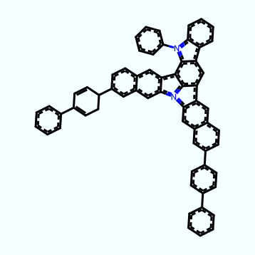 C1=CC(c2ccc3cc4c5c6c(cc7c8cc9ccc(-c%10ccc(-c%11ccccc%11)cc%10)cc9cc8n(c4cc3c2)c75)c2ccccc2n6-c2ccccc2)CC=C1c1ccccc1